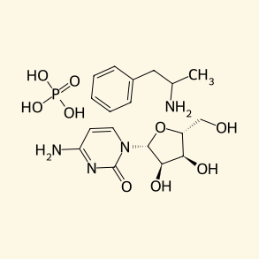 CC(N)Cc1ccccc1.Nc1ccn([C@@H]2O[C@H](CO)[C@@H](O)[C@H]2O)c(=O)n1.O=P(O)(O)O